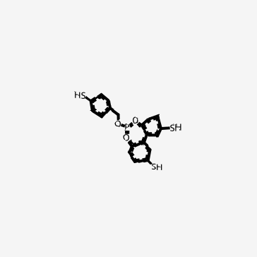 Sc1ccc(COp2oc3ccc(S)cc3c3cc(S)ccc3o2)cc1